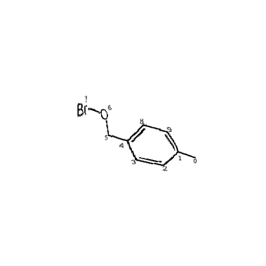 Cc1ccc(COBr)cc1